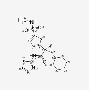 CNS(=O)(=O)c1ccc(C2(C(=O)Nc3nccs3)CC2C2CCCCC2)s1